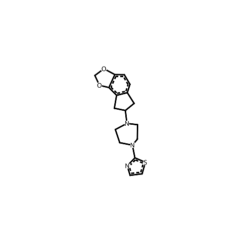 c1csc(N2CCN(C3Cc4ccc5c(c4C3)OCO5)CC2)n1